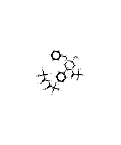 C[C@@H]1CN(C(=O)C(F)(F)F)[C@@H](c2ccccc2)CN1Cc1ccccc1.O=C(OC(=O)C(F)(F)F)C(F)(F)F